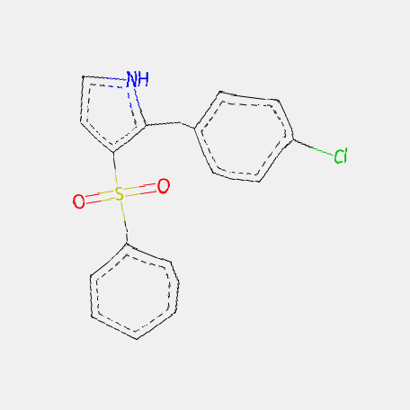 O=S(=O)(c1ccccc1)c1cc[nH]c1-c1ccc(Cl)cc1